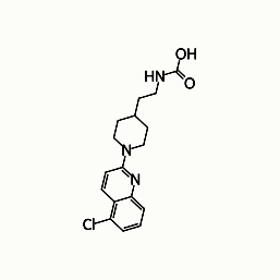 O=C(O)NCCC1CCN(c2ccc3c(Cl)cccc3n2)CC1